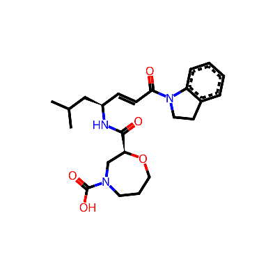 CC(C)C[C@@H](/C=C/C(=O)N1CCc2ccccc21)NC(=O)[C@@H]1CN(C(=O)O)CCCO1